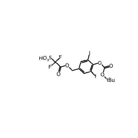 CC(C)(C)OC(=O)Oc1c(I)cc(COC(=O)C(F)(F)S(=O)(=O)O)cc1I